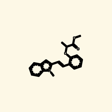 COC(=O)C(C)Oc1ccccc1C=Cc1cc2ccccc2n1C